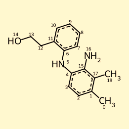 Cc1ccc(Nc2ccccc2CCO)c(N)c1C